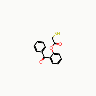 O=C(CS)Oc1ccccc1C(=O)c1ccccc1